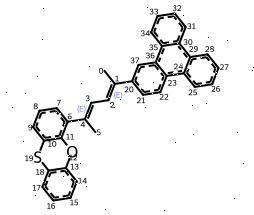 C/C(=C\C=C(/C)c1cccc2c1Oc1ccccc1S2)c1ccc2c3ccccc3c3ccccc3c2c1